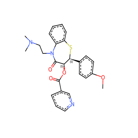 COc1ccc([C@@H]2Sc3ccccc3N(CCN(C)C)C(=O)[C@@H]2OC(=O)c2cccnc2)cc1